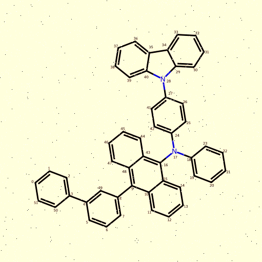 c1ccc(-c2cccc(-c3c4ccccc4c(N(c4ccccc4)c4ccc(-n5c6ccccc6c6ccccc65)cc4)c4ccccc34)c2)cc1